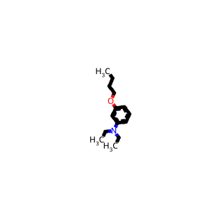 CCCCOc1[c]ccc(N(CC)CC)c1